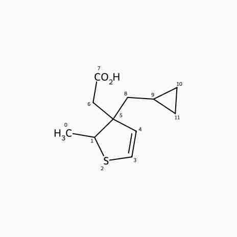 CC1SC=CC1(CC(=O)O)CC1CC1